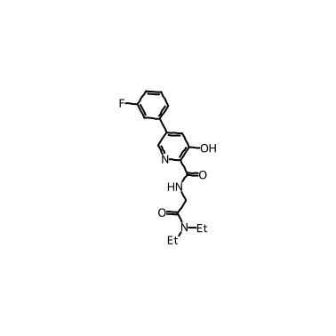 CCN(CC)C(=O)CNC(=O)c1ncc(-c2cccc(F)c2)cc1O